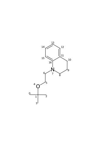 CC(C)(C)OCCN1CCCc2ccccc21